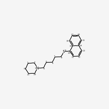 [CH]1CCN(CCCCCSc2cccc3ccccc23)CC1